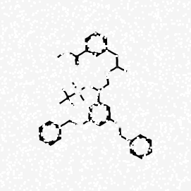 COC(=O)c1cccc(CC(C)NCC(O[Si](C)(C)C(C)(C)C)c2cc(OCc3ccccc3)cc(OCc3ccccc3)c2)c1